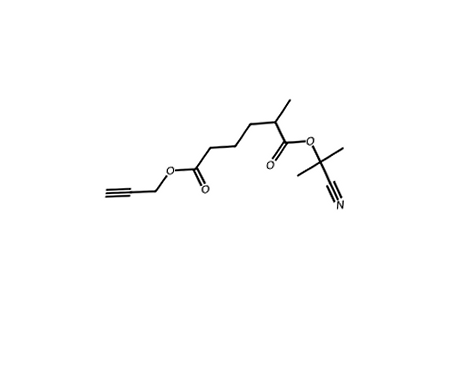 C#CCOC(=O)CCCC(C)C(=O)OC(C)(C)C#N